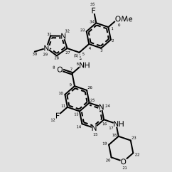 COc1ccc([C@H](NC(=O)c2cc(F)c3cnc(NC4CCOCC4)nc3c2)c2cn(C)cn2)cc1F